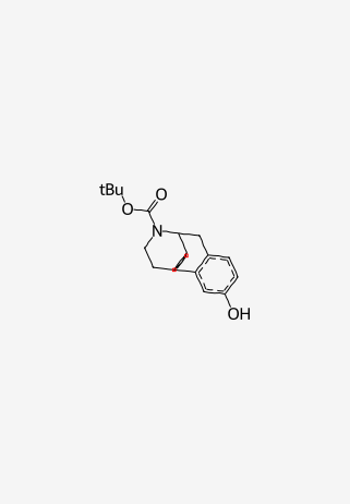 CC(C)(C)OC(=O)N1CCC23CCCCC2C1Cc1ccc(O)cc13